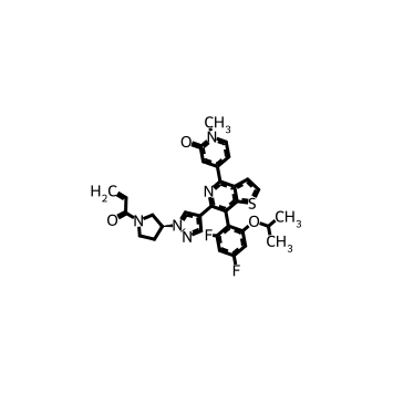 C=CC(=O)N1CC[C@H](n2cc(-c3nc(-c4ccn(C)c(=O)c4)c4ccsc4c3-c3c(F)cc(F)cc3OC(C)C)cn2)C1